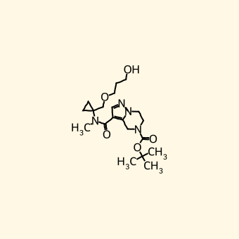 CN(C(=O)c1cnn2c1CN(C(=O)OC(C)(C)C)CC2)C1(COCCCO)CC1